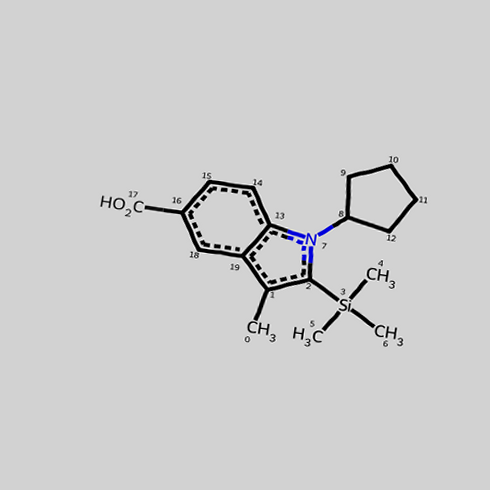 Cc1c([Si](C)(C)C)n(C2CCCC2)c2ccc(C(=O)O)cc12